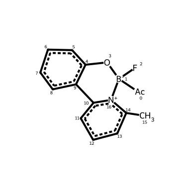 CC(=O)[B-]1(F)Oc2ccccc2-c2cccc(C)[n+]21